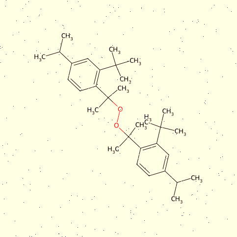 CC(C)c1ccc(C(C)(C)OOC(C)(C)c2ccc(C(C)C)cc2C(C)(C)C)c(C(C)(C)C)c1